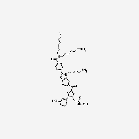 CCCCCCCN(CCCCCCN)C(=O)c1ccc(-c2cc3ccc(C(=O)c4cc(CC(=O)NO)c(-c5cccc(O)c5)s4)cc3n2CCCCN)cc1